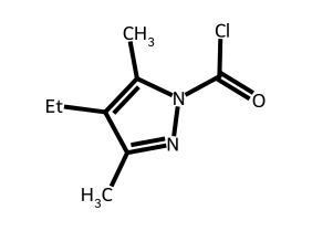 CCc1c(C)nn(C(=O)Cl)c1C